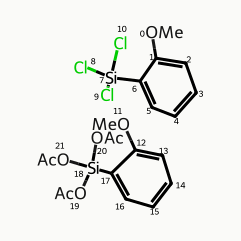 COc1ccccc1[Si](Cl)(Cl)Cl.COc1ccccc1[Si](OC(C)=O)(OC(C)=O)OC(C)=O